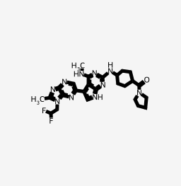 CNc1nc(NC2CCC(C(=O)N3CCCC3)CC2)nc2[nH]cc(-c3cnc4nc(C)n(CC(F)F)c4n3)c12